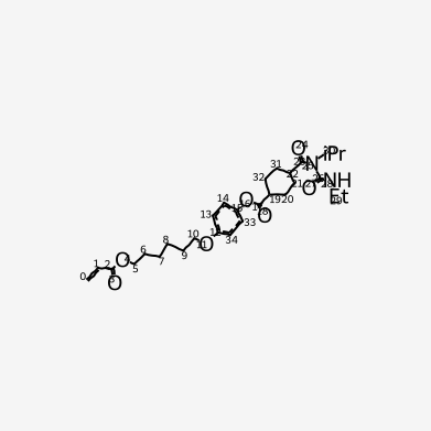 C=CC(=O)OCCCCCCOc1ccc(OC(=O)C2CCC(C(=O)N(C(=O)NCC)C(C)C)CC2)cc1